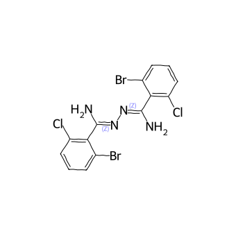 N/C(=N\N=C(/N)c1c(Cl)cccc1Br)c1c(Cl)cccc1Br